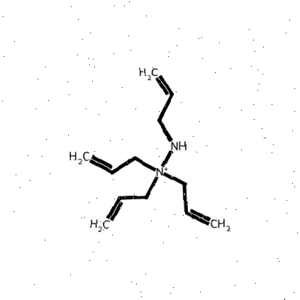 C=CCN[N+](CC=C)(CC=C)CC=C